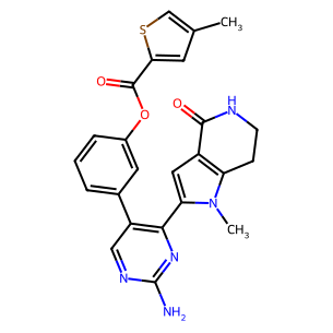 Cc1csc(C(=O)Oc2cccc(-c3cnc(N)nc3-c3cc4c(n3C)CCNC4=O)c2)c1